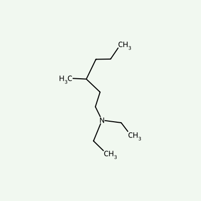 CCCC(C)CCN(CC)CC